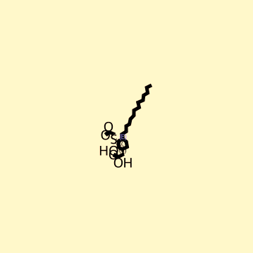 CCCCCCCCCCCCC/C=C1\CC[C@@H](CC(=O)O)[C@H](O)[C@H]1SCC(=O)OC